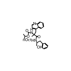 CCCCCCCCC(C)OC(=O)NC(C)(Cc1ccnc2ccccc12)C(=O)NC(CO)Cc1ccccc1